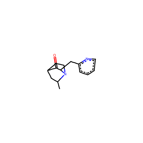 CC1CC2CCN1C(Cc1ccccn1)C2=O